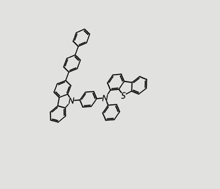 c1ccc(-c2ccc(-c3ccc4c5ccccc5n(-c5ccc(N(c6ccccc6)c6cccc7c6sc6ccccc67)cc5)c4c3)cc2)cc1